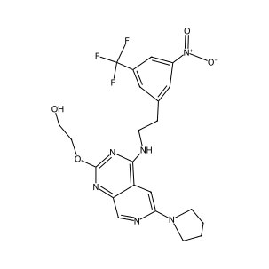 O=[N+]([O-])c1cc(CCNc2nc(OCCO)nc3cnc(N4CCCC4)cc23)cc(C(F)(F)F)c1